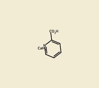 O=C(O)c1ccccn1.[CaH2]